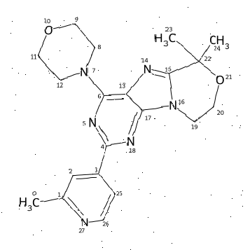 Cc1cc(-c2nc(N3CCOCC3)c3nc4n(c3n2)CCOC4(C)C)ccn1